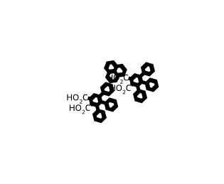 C1=Cc2cccc3cccc(c23)C1.O=C(O)c1cc(-c2ccccc2)c(-c2ccccc2)c(-c2ccccc2)c1C(=O)O.O=C(O)c1cc(-c2ccccc2)c(-c2ccccc2)c(-c2ccccc2)c1C(=O)O